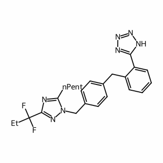 CCCCCc1nc(C(F)(F)CC)nn1Cc1ccc(Cc2ccccc2-c2nnn[nH]2)cc1